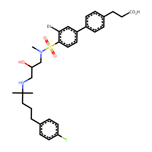 CCc1cc(-c2ccc(CCC(=O)O)cc2)ccc1S(=O)(=O)N(C)CC(O)CNC(C)(C)CCCc1ccc(F)cc1